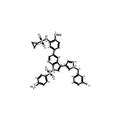 COc1ccc(-c2cnc3c(c2)c(-c2cnn(Cc4cccc(F)c4)c2)cn3S(=O)(=O)c2ccc(C)cc2)cc1NS(=O)(=O)C1CC1